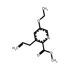 C=CCc1cc(OCC)cnc1C(=O)OC